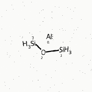 [Al].[SiH3]O[SiH3]